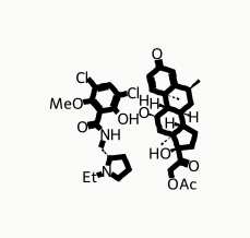 CC(=O)OCC(=O)[C@@]1(O)CC[C@H]2[C@@H]3C[C@H](C)C4=CC(=O)C=C[C@]4(C)[C@H]3[C@@H](O)C[C@@]21C.CCN1CCC[C@H]1CNC(=O)c1c(O)c(Cl)cc(Cl)c1OC